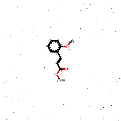 CCCCOC(=O)/C=C/c1ccccc1OC(C)C